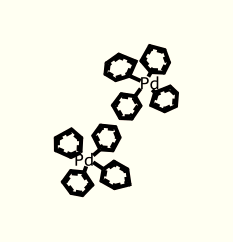 c1cc[c]([Pd]([c]2ccccc2)([c]2ccccc2)[c]2ccccc2)cc1.c1cc[c]([Pd]([c]2ccccc2)([c]2ccccc2)[c]2ccccc2)cc1